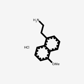 COc1cccc2c(CCN)cccc12.Cl